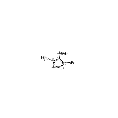 CNc1c(C)noc1C(C)C